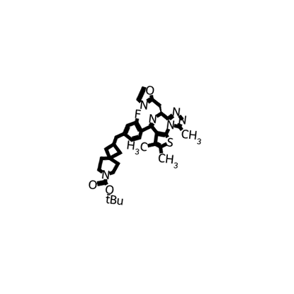 Cc1sc2c(c1C)C(c1ccc(CC3CC4(CCN(C(=O)OC(C)(C)C)CC4)C3)cc1F)=N[C@@H](Cc1ncco1)c1nnc(C)n1-2